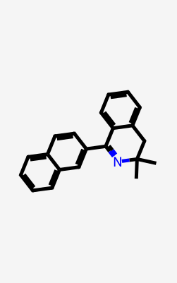 CC1(C)Cc2ccccc2C(c2ccc3ccccc3c2)=N1